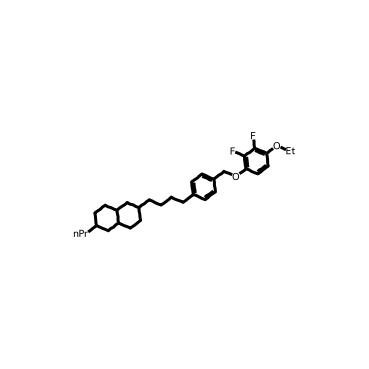 CCCC1CCC2CC(CCCCc3ccc(COc4ccc(OCC)c(F)c4F)cc3)CCC2C1